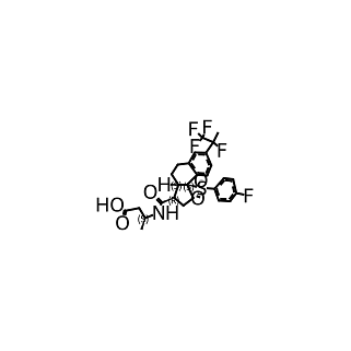 C[C@@H](CC(=O)O)NC(=O)[C@@H]1CC[C@@]2(S(=O)(=O)c3ccc(F)cc3)c3ccc(C(C)(F)C(F)(F)F)cc3CC[C@@H]12